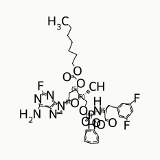 C#C[C@]1(CO[P@@](=O)(N[C@@H](Cc2cc(F)cc(F)c2)C(=O)O)Oc2ccccc2)O[C@@H](n2cnc3c(N)nc(F)nc32)C[C@@H]1OC(=O)OCCCCCCC